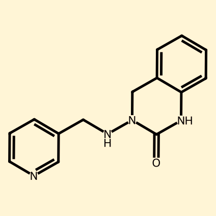 O=C1Nc2ccccc2CN1NCc1cccnc1